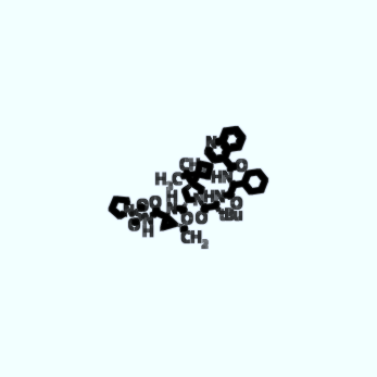 C=C[C@@H]1C[C@]1(NC(=O)[C@@H]1C[C@@]2(CN1C(=O)[C@@H](NC(=O)C(NC(=O)c1ccnc3ccccc13)C1CCCCC1)C(C)(C)C)C(C)(C)C21CCC1)C(=O)NS(=O)(=O)N1CCCC1